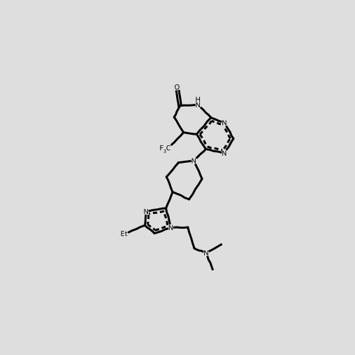 CCc1cn(CCN(C)C)c(C2CCN(c3ncnc4c3C(C(F)(F)F)CC(=O)N4)CC2)n1